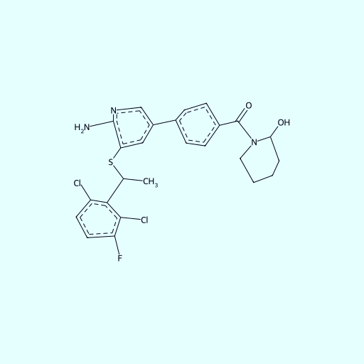 CC(Sc1cc(-c2ccc(C(=O)N3CCCCC3O)cc2)cnc1N)c1c(Cl)ccc(F)c1Cl